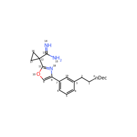 CCCCCCCCCCCCc1cccc(-c2coc(C3(C(=N)N)CC3)n2)c1